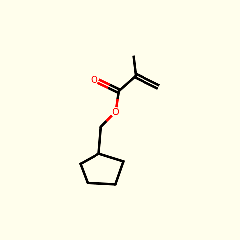 C=C(C)C(=O)OCC1CCCC1